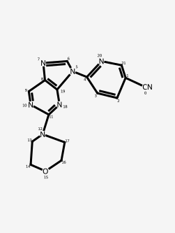 N#Cc1ccc(-n2cnc3cnc(N4CCOCC4)nc32)nc1